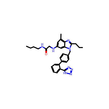 CCCCNC(=O)CNc1cc(C)c2nc(CCC)n(Cc3ccc(-c4ccccc4-c4nnn[nH]4)cc3)c2c1